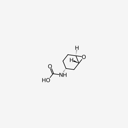 O=C(O)N[C@@H]1CC[C@H]2O[C@@H]2C1